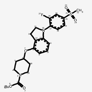 CC(C)COC(=O)N1CCC(Oc2cccc3c2CCN3c2ccc(S(C)(=O)=O)cc2F)CC1